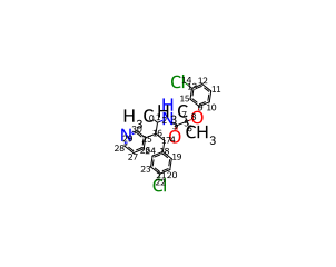 CC(NC(=O)C(C)(C)Oc1cccc(Cl)c1)C(Cc1ccc(Cl)cc1)c1cccnc1